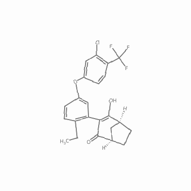 CCc1ccc(Oc2ccc(C(F)(F)F)c(Cl)c2)cc1C1=C(O)[C@H]2CC[C@H](C2)C1=O